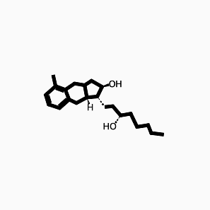 CCCCC[C@H](O)CC[C@H]1[C@H](O)CC2Cc3c(C)cccc3C[C@@H]21